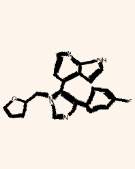 Fc1ccc(-c2ncn(CC3CCCO3)c2-c2ccnc3[nH]ccc23)cc1